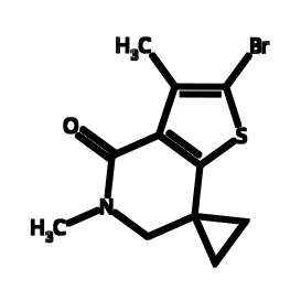 Cc1c(Br)sc2c1C(=O)N(C)CC21CC1